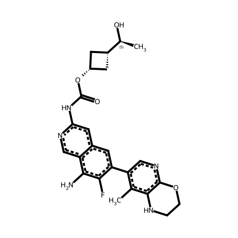 Cc1c(-c2cc3cc(NC(=O)O[C@H]4C[C@@H]([C@H](C)O)C4)ncc3c(N)c2F)cnc2c1NCCO2